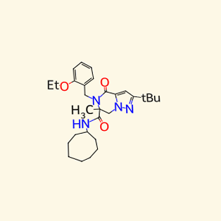 CCOc1ccccc1CN1C(=O)c2cc(C(C)(C)C)nn2CC1(C)C(=O)NC1CCCCCCC1